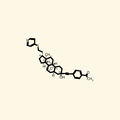 CC(=O)c1ccc(C#C[C@@]2(O)CC[C@@]3(C)[C@H](CC[C@@H]4[C@@H]3CC[C@]3(C)[C@@H](CCSc5ccncc5)CC[C@@H]43)C2)cc1